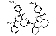 COc1ccc(S(=O)(=O)N2CCCC[C@H](c3ccccc3)[C@H]2C(=O)NO)cc1.COc1ccc(S(=O)(=O)N2CCCC[C@H](c3ccccc3)[C@H]2C(=O)NO)cc1